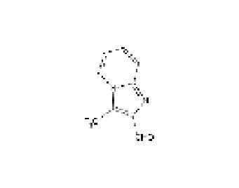 O=Cc1nc2ccccn2c1C(F)(F)F